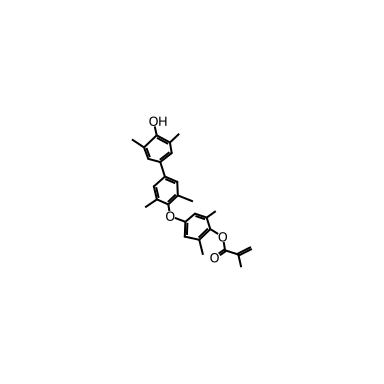 C=C(C)C(=O)Oc1c(C)cc(Oc2c(C)cc(-c3cc(C)c(O)c(C)c3)cc2C)cc1C